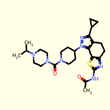 CC(=O)Nc1nc2c(s1)-c1c(c(C3CC3)nn1C1CCN(C(=O)N3CCN(C(C)C)CC3)CC1)CC2